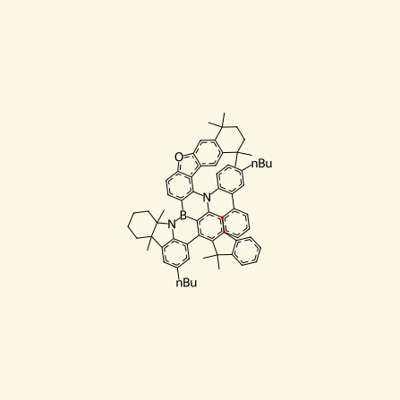 CCCCc1ccc(N2c3cc4c(c5c3B(c3ccc6oc7cc8c(cc7c6c32)C(C)(C)CCC8(C)C)N2c3c-5cc(CCCC)cc3C3(C)CCCCC23C)C(C)(C)c2ccccc2-4)c(-c2ccccc2)c1